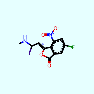 CNC(I)/C=C1\OC(=O)c2cc(F)cc([N+](=O)[O-])c21